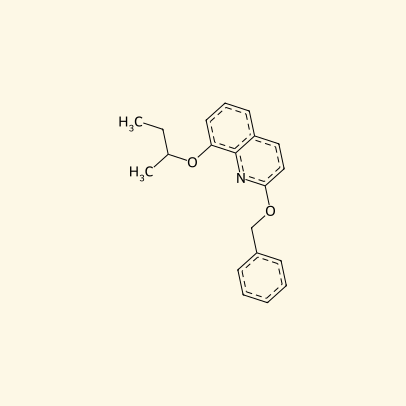 CCC(C)Oc1cccc2ccc(OCc3ccccc3)nc12